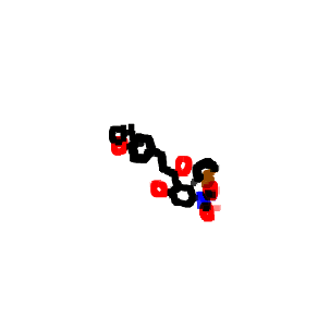 COc1ccc(/C=C/C(=O)C2C(=O)CC[C@H]([N+](=O)[O-])[C@H]2c2cccs2)cc1